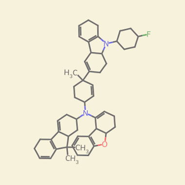 CC1(C2=CC3C4=C(CCC=C4)N(C4CCC(F)CC4)C3CC2)C=CC(N(C2=CCCC3OC4=C(C=CCC4)C23)C2CC=C3C4=C(C=CCC4)C(C)(C)C3C2)CC1